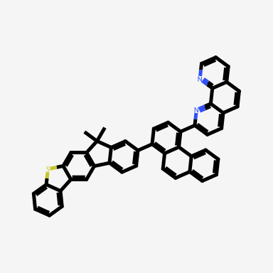 CC1(C)c2cc(-c3ccc(-c4ccc5ccc6cccnc6c5n4)c4c3ccc3ccccc34)ccc2-c2cc3c(cc21)sc1ccccc13